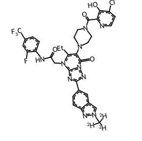 [2H]C([2H])([2H])n1cc2cc(-c3nc4n(CC(=O)Nc5ccc(C(F)(F)F)cc5F)c(CC)c(N5CCN(C(=O)c6nccc(Cl)c6O)CC5)c(=O)n4n3)ccc2n1